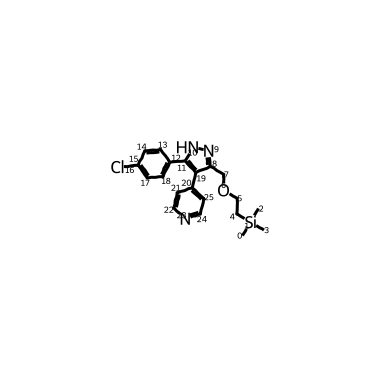 C[Si](C)(C)CCOCc1n[nH]c(-c2ccc(Cl)cc2)c1-c1ccncc1